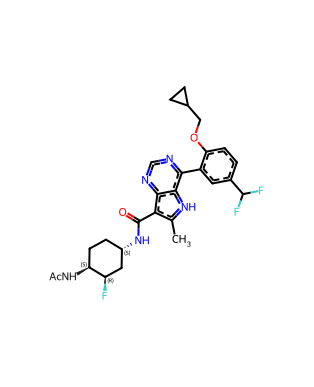 CC(=O)N[C@H]1CC[C@H](NC(=O)c2c(C)[nH]c3c(-c4cc(C(F)F)ccc4OCC4CC4)ncnc23)C[C@H]1F